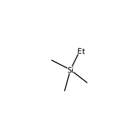 [CH2]C[Si](C)(C)C